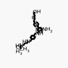 CC(C)NCCCNCc1ccc(CNc2nc(N)cc(N3CCN(CCOCCO)CC3)n2)cc1